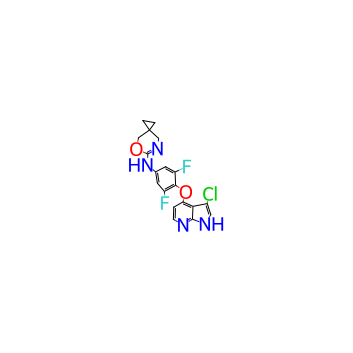 Fc1cc(NC2=NCC3(CC3)CO2)cc(F)c1Oc1ccnc2[nH]cc(Cl)c12